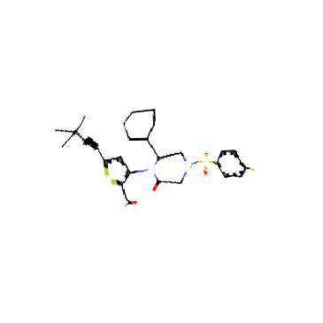 CC(C)(C)C#Cc1cc(N2C(=O)CN(S(=O)(=O)c3ccc(F)cc3)CC2C2CCCCC2)c(C(=O)O)s1